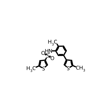 Cc1cc(-c2ccc(C)c(NS(=O)(=O)c3csc(C)c3)c2)cs1